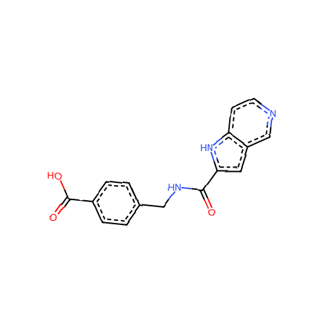 O=C(O)c1ccc(CNC(=O)c2cc3cnccc3[nH]2)cc1